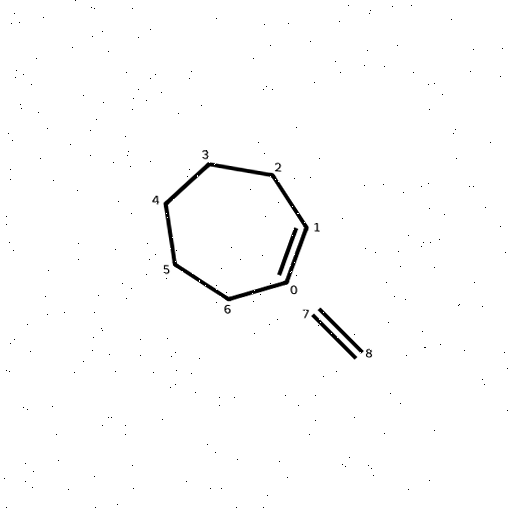 C1=CCCCCC1.C=C